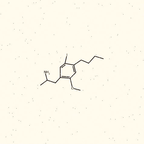 CCCCc1cc(OC)c(CC(C)N)cc1I